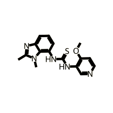 COc1ccncc1NC(=S)Nc1cccc2nc(C)n(C)c12